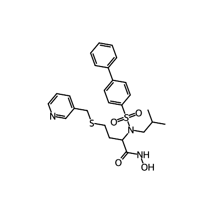 CC(C)CN(C(CCSCc1cccnc1)C(=O)NO)S(=O)(=O)c1ccc(-c2ccccc2)cc1